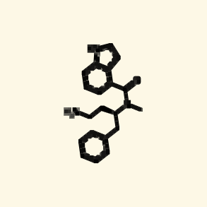 CN(C(=O)c1cccc2[nH]ccc12)[C@H](CCN)Cc1ccccc1